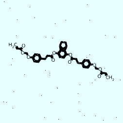 C=CC(=O)OCOc1ccc(CCC(=O)Oc2ccc(OC(=O)CCc3ccc(OCOC(=O)C=C)cc3)c3c2C2CCC3C2)cc1